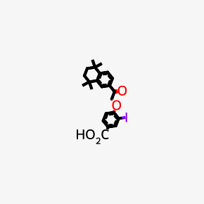 CC1(C)CCC(C)(C)c2cc(C(=O)COc3ccc(C(=O)O)cc3I)ccc21